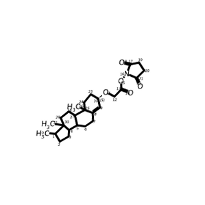 CC1CCC2C3CCC4=C[C@@H](OCC(=O)ON5C(=O)CCC5=O)CCC4(C)C3CCC12C